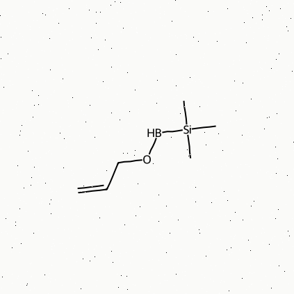 C=CCOB[Si](C)(C)C